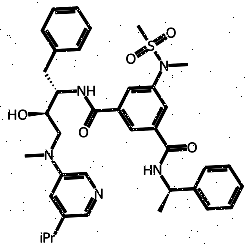 CC(C)c1cncc(N(C)C[C@@H](O)[C@H](Cc2ccccc2)NC(=O)c2cc(C(=O)N[C@H](C)c3ccccc3)cc(N(C)S(C)(=O)=O)c2)c1